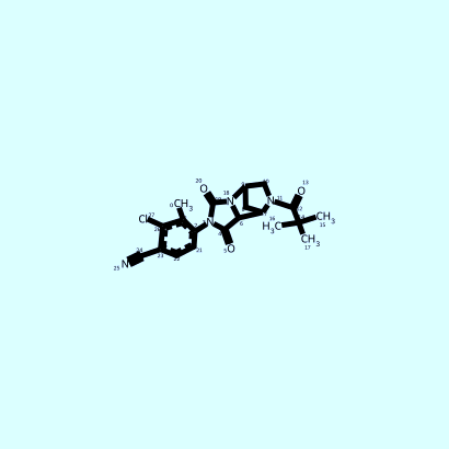 Cc1c(N2C(=O)C3C4CC(CN4C(=O)C(C)(C)C)N3C2=O)ccc(C#N)c1Cl